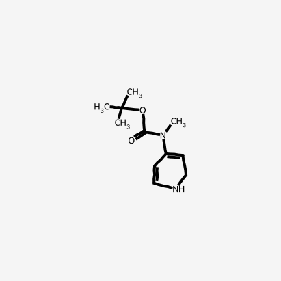 CN(C(=O)OC(C)(C)C)C1=CCNC=C1